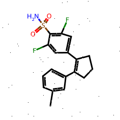 Cc1cccc(C2=C(c3cc(F)c(S(N)(=O)=O)c(F)c3)CCC2)c1